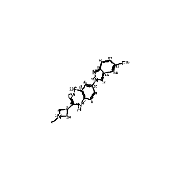 CN1CC(C(=O)Nc2ccc(-n3cc4cc(F)ccc4n3)cc2F)C1